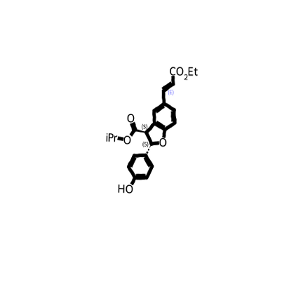 CCOC(=O)/C=C/c1ccc2c(c1)[C@H](C(=O)OC(C)C)[C@@H](c1ccc(O)cc1)O2